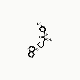 C[C@H](C(=O)Nc1ccc(C#N)cc1)[C@H]1CC[C@@H](Oc2ccnc3ccccc23)CC1